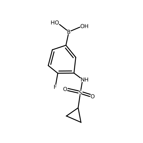 O=S(=O)(Nc1cc(B(O)O)ccc1F)C1CC1